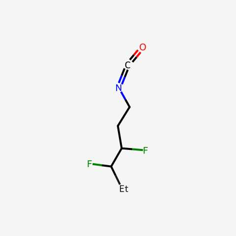 CCC(F)C(F)CCN=C=O